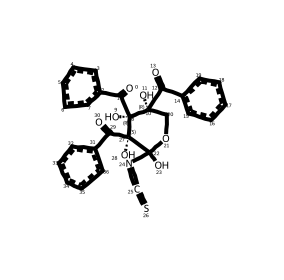 O=C(c1ccccc1)[C@@]1(O)[C@@](O)(C(=O)c2ccccc2)COC(O)(N=C=S)[C@@]1(O)C(=O)c1ccccc1